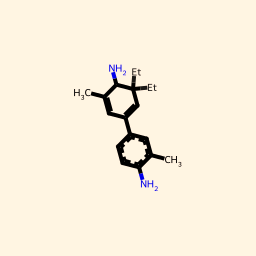 CCC1(CC)C=C(c2ccc(N)c(C)c2)C=C(C)C1N